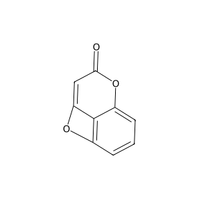 O=c1cc2c3c(cccc3o1)O2